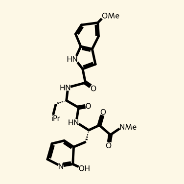 CNC(=O)C(=O)[C@H](Cc1cccnc1O)NC(=O)[C@H](CC(C)C)NC(=O)c1cc2cc(OC)ccc2[nH]1